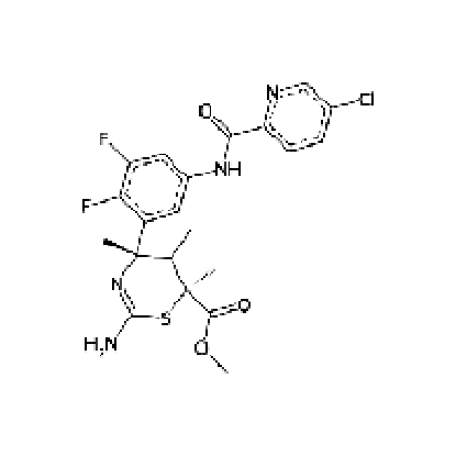 COC(=O)[C@@]1(C)SC(N)=N[C@](C)(c2cc(NC(=O)c3ccc(Cl)cn3)cc(F)c2F)C1C